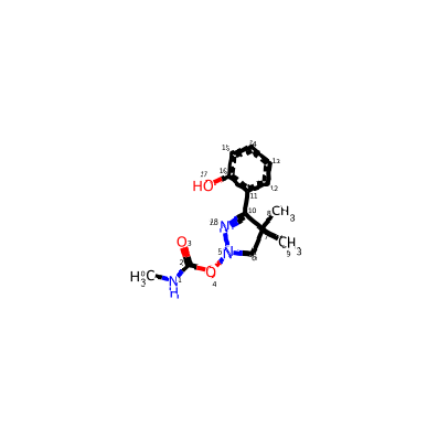 CNC(=O)ON1CC(C)(C)C(c2ccccc2O)=N1